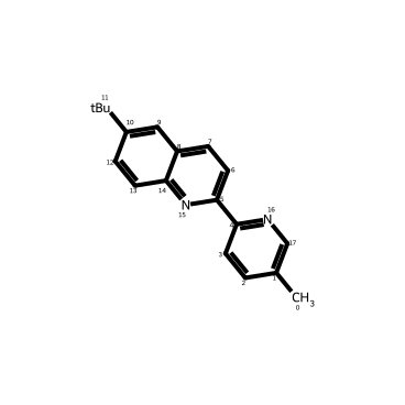 Cc1ccc(-c2ccc3cc(C(C)(C)C)ccc3n2)nc1